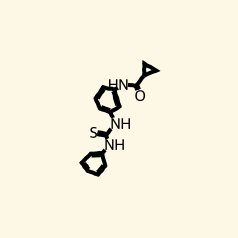 O=C(Nc1cccc(NC(=S)Nc2ccccc2)c1)C1CC1